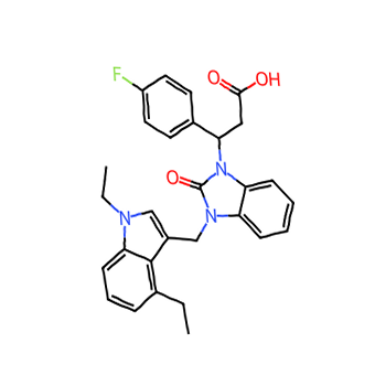 CCc1cccc2c1c(Cn1c(=O)n(C(CC(=O)O)c3ccc(F)cc3)c3ccccc31)cn2CC